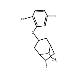 CN1C2CC(Oc3cc(F)ccc3Br)CC1C(F)C2